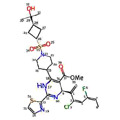 C=C(/C(Cl)=C\C(F)=C/C)[C@H]1N=C(c2nccs2)NC(C2CCN(S(=O)(=O)[C@H]3C[C@H](C(C)(C)O)C3)CC2)=C1C(=O)OC